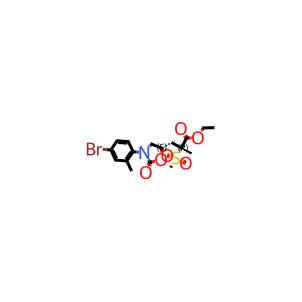 CCOC(=O)[C@@](C)(C[C@H]1CN(c2ccc(Br)cc2C)C(=O)O1)S(C)(=O)=O